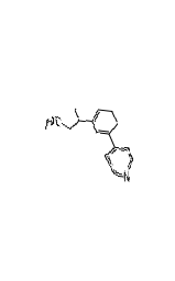 CC(CC#N)C1=CCCC(c2ccncc2)=C1